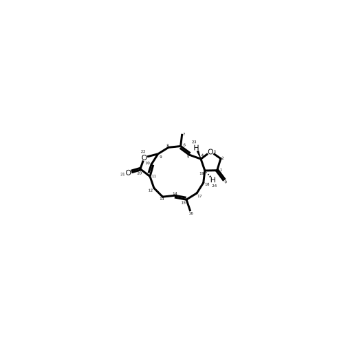 C=C1CO[C@H]2/C=C(\C)CC3C=C(CC/C=C(\C)CC[C@H]12)C(=O)O3